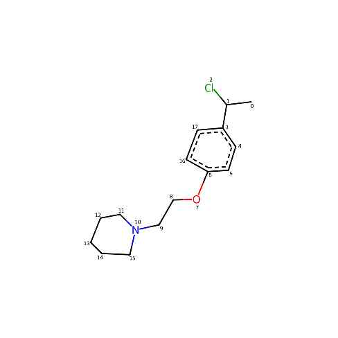 CC(Cl)c1ccc(OCCN2CCCCC2)cc1